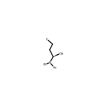 CCN(C(C)=O)[C@H](C#N)CCF